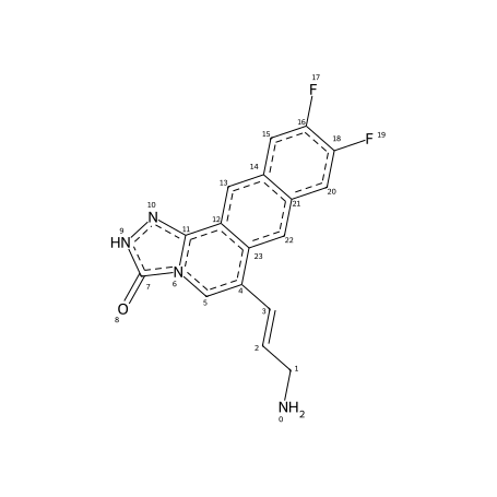 NCC=Cc1cn2c(=O)[nH]nc2c2cc3cc(F)c(F)cc3cc12